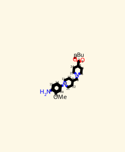 CCCCOC(=O)C1CCN(CC2CCN(c3ccc(N)c(OC)c3)CC2)CC1